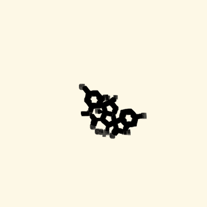 CN(C(=O)[C@H]1[C@H]2CC(F)(F)CN2C2(C(=O)Nc3cc(Cl)ccc32)[C@H]1C(=O)O)c1cc(Cl)cc(Cl)c1